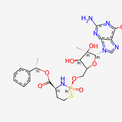 COc1nc(N)nc2c1ncn2[C@@H]1OC(CO[P@]2(=O)N[C@H](C(=O)O[C@@H](C)c3ccccc3)CCS2)[C@@H](O)[C@@]1(C)O